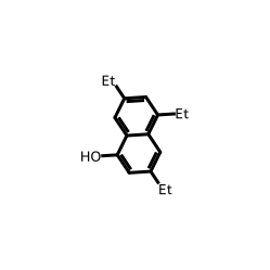 CCc1cc(CC)c2cc(CC)cc(O)c2c1